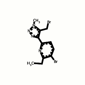 CCc1nc(-c2nnn(C)c2CBr)ccc1Br